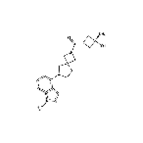 Cn1ncc2c(C3CCC4(C3)CN(C(=O)[C@H]3C[C@@](C)(O)C3)C4)cccc21